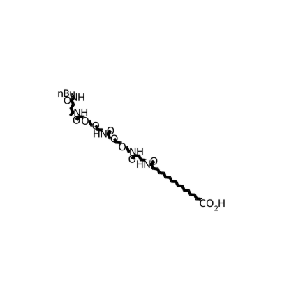 CCCCNC(=O)CCC(C)NC(=O)COCCOCCNC(=O)COCCOCCNC(=O)CCCNC(=O)CCCCCCCCCCCCCCCCC(=O)O